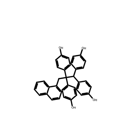 Oc1ccc(C(c2ccc(O)cc2)C(Cc2cccc3ccccc23)(c2ccc(O)cc2)c2ccc(O)cc2)cc1